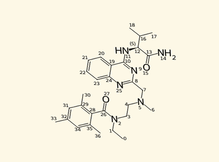 CCN(CCN(C)Cc1nc(N[C@H](C(N)=O)C(C)C)c2ccccc2n1)C(=O)c1c(C)cc(C)cc1C